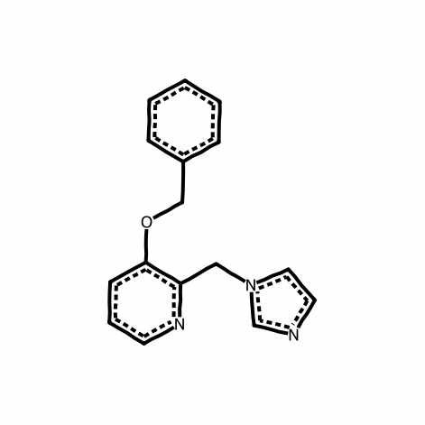 c1ccc(COc2cccnc2Cn2ccnc2)cc1